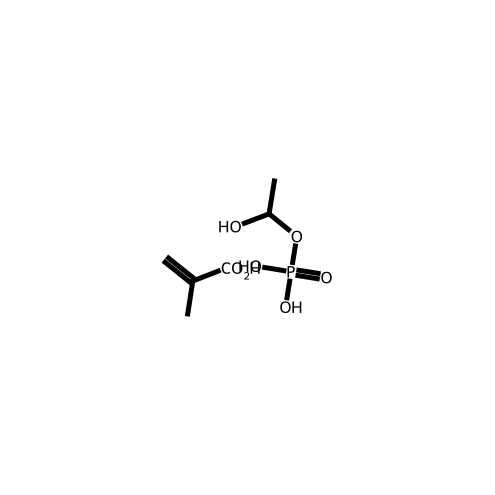 C=C(C)C(=O)O.CC(O)OP(=O)(O)O